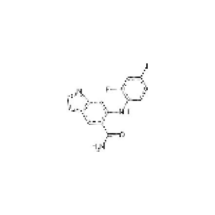 NC(=O)c1cn2ccnc2cc1Nc1ccc(I)cc1F